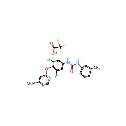 CNc1cc(Oc2c(Cl)cc(NC(=O)Nc3cccc(C(F)(F)F)c3)cc2Cl)ncn1.O=C(O)C(F)(F)F